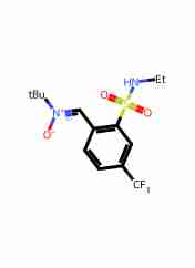 CCNS(=O)(=O)c1cc(C(F)(F)F)ccc1/C=[N+](\[O-])C(C)(C)C